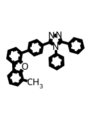 Cc1cccc2c1oc1c(-c3ccc(-c4nnc(-c5ccccc5)n4-c4ccccc4)cc3)cccc12